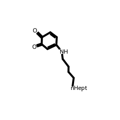 CCCCCCCCCCCNC1=CC(=O)C(=O)C=C1